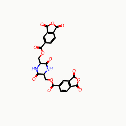 O=C(OCC1NC(=O)C(COC(=O)c2ccc3c(c2)C(=O)OC3=O)NC1=O)c1ccc2c(c1)C(=O)OC2=O